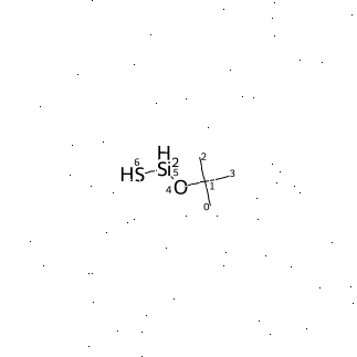 CC(C)(C)O[SiH2]S